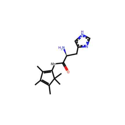 CC1=C(C)C(C)(C)[C]([Mn][C](=O)[C@@H](N)Cc2c[nH]cn2)=C1C